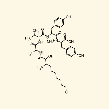 CC(NC(=O)C(O)C(N)CCCCCCCCl)C(=O)NC(C(=O)N(C)C(Cc1ccc(O)cc1)C(=O)NC(Cc1ccc(O)cc1)C(=O)O)C(C)C